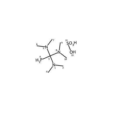 CN(C)C(P)(N(C)C)N(C)C.O=S(=O)(O)O